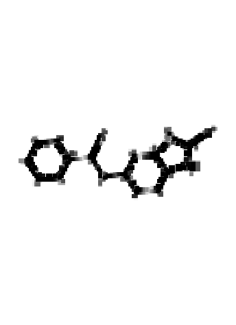 O=C(Oc1ccc2[nH]c(=O)oc2c1)c1ccccc1